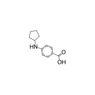 O=C(O)c1ccc(NC2CCCC2)cc1